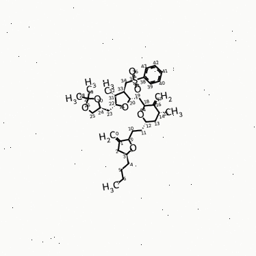 C=C1C[C@H](CCCC)OC1CC[C@H]1C[C@@H](C)C(=C)C(C[C@@H]2O[C@H](C[C@H]3COC(C)(C)O3)[C@H](C)[C@H]2CS(=O)(=O)c2ccccc2)O1